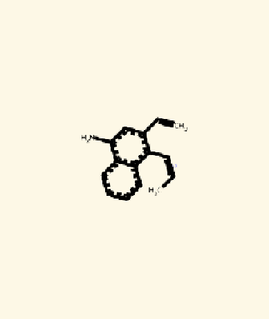 C=Cc1cc(N)c2ccccc2c1/C=C\C